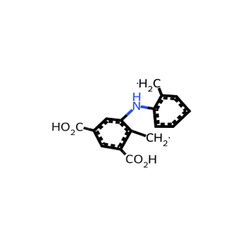 [CH2]c1ccccc1Nc1cc(C(=O)O)cc(C(=O)O)c1[CH2]